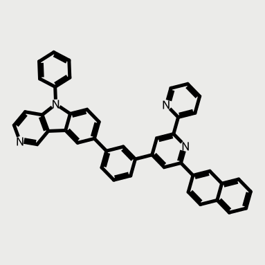 c1ccc(-n2c3ccncc3c3cc(-c4cccc(-c5cc(-c6ccc7ccccc7c6)nc(-c6ccccn6)c5)c4)ccc32)cc1